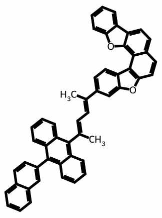 C/C(=C\C=C(/C)c1c2ccccc2c(-c2ccc3ccccc3c2)c2ccccc12)c1ccc2c(c1)oc1ccc3ccc4c5ccccc5oc4c3c12